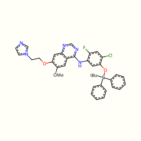 COc1cc2c(Nc3cc(O[Si](c4ccccc4)(c4ccccc4)C(C)(C)C)c(Cl)cc3F)ncnc2cc1OCCn1ccnc1